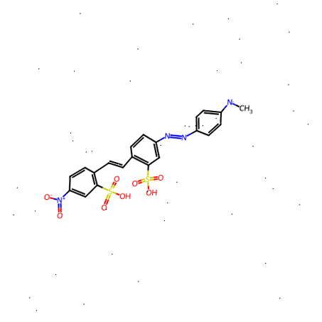 C[N]c1ccc(N=Nc2ccc(C=Cc3ccc([N+](=O)[O-])cc3S(=O)(=O)O)c(S(=O)(=O)O)c2)cc1